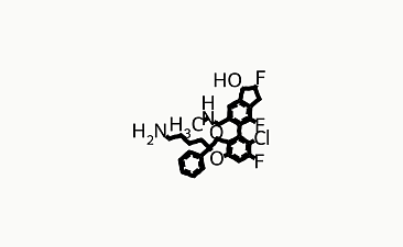 CNC(=O)c1cc2c(c(F)c1-c1c(Cl)c(F)cc3c1CC(CCCCN)(c1ccccc1)O3)CC(F)C2O